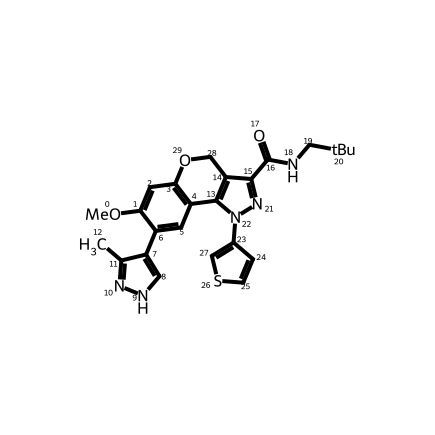 COc1cc2c(cc1-c1c[nH]nc1C)-c1c(c(C(=O)NCC(C)(C)C)nn1-c1ccsc1)CO2